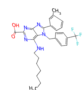 CCCCCCCNc1nc(C(=O)O)nc2nc(-c3cccc(C)c3)n(Cc3ccc(C(F)(F)F)cc3)c12